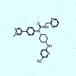 Cn1cc(-c2ccc(N(C(=O)NCc3ncccn3)[C@H]3CC[C@H](Nc4ccc(C#N)cn4)CC3)cc2)cn1